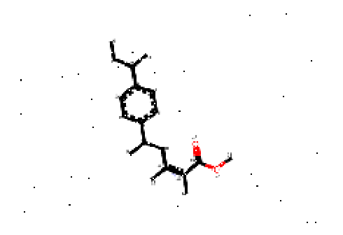 CCC(C)c1ccc(C(C)C/C(C)=C(/C)C(=O)OC)cc1